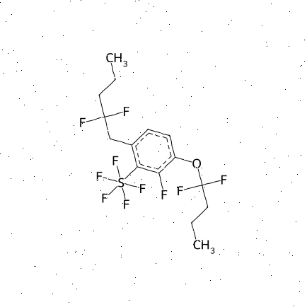 CCCC(F)(F)Cc1ccc(OC(F)(F)CCC)c(F)c1S(F)(F)(F)(F)F